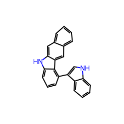 c1ccc2cc3c(cc2c1)[nH]c1cccc(-c2c[nH]c4ccccc24)c13